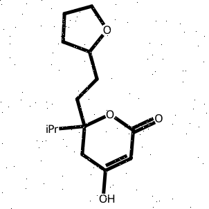 CC(C)C1(CCC2CCCO2)CC(O)=CC(=O)O1